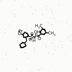 Cc1cc(C)cc(C(=O)N(O)NS(=O)(=O)c2ccc(OC(C)C)cc2Cc2ccccc2)c1